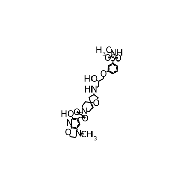 CNS(=O)(=O)c1cccc(OC[C@@H](O)CN[C@H]2COC3(CCN(S(=O)(=O)c4cc5c(nc4O)OCCN5C)CC3)C2)c1